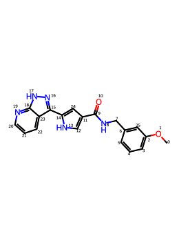 COc1cccc(CNC(=O)c2c[nH]c(-c3n[nH]c4ncccc34)c2)c1